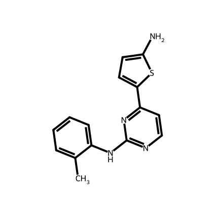 Cc1ccccc1Nc1nccc(-c2ccc(N)s2)n1